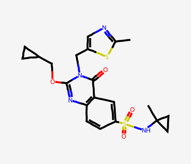 Cc1ncc(Cn2c(OCC3CC3)nc3ccc(S(=O)(=O)NC4(C)CC4)cc3c2=O)s1